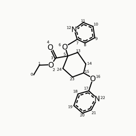 CCOC(=O)C1(Oc2ccccn2)CCC(Oc2ccccn2)CC1